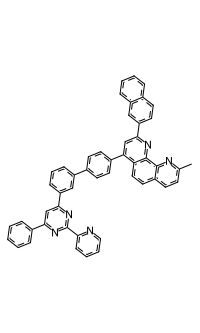 Cc1ccc2ccc3c(-c4ccc(-c5cccc(-c6cc(-c7ccccc7)nc(-c7ccccn7)n6)c5)cc4)cc(-c4ccc5ccccc5c4)nc3c2n1